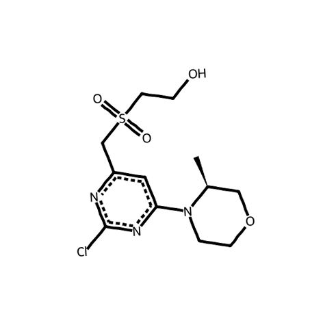 C[C@H]1COCCN1c1cc(CS(=O)(=O)CCO)nc(Cl)n1